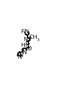 Cc1cc(CNC(=O)c2ccc(-c3cccnn3)nc2)cnc1-c1ccnc(F)c1